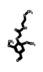 COCCNC(=O)COc1c(OC)cc(C=O)cc1OC